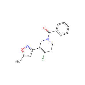 CCCCc1cc(C2=C(Cl)CCN(C(=O)c3ccccc3)C2)no1